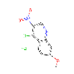 COc1ccc2c(Cl)c([N+](=O)[O-])cnc2c1.Cl